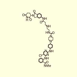 CNC(=O)c1ccccc1Nc1nc(Nc2ccc(N3CCN(C(=O)NCCNCCC(=O)Nc4ccc5c(c4)CN(C4CCC(=O)NC4=O)C5=O)CC3)cc2)ncc1Cl